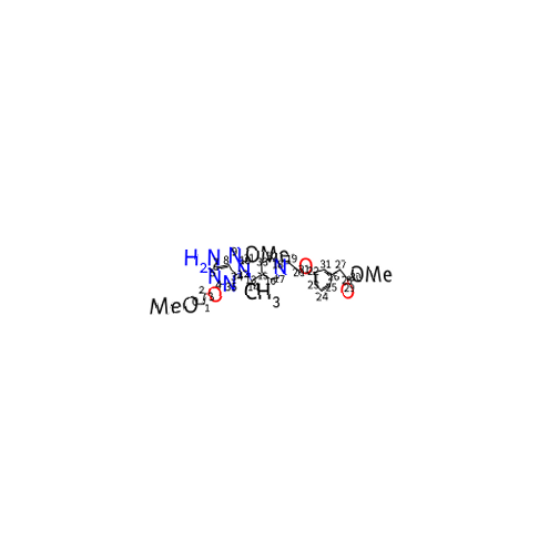 COCCOc1nc(N)c2nc(OC)n(C(C)C3CCN(CCOc4cccc(CC(=O)OC)c4)CC3)c2n1